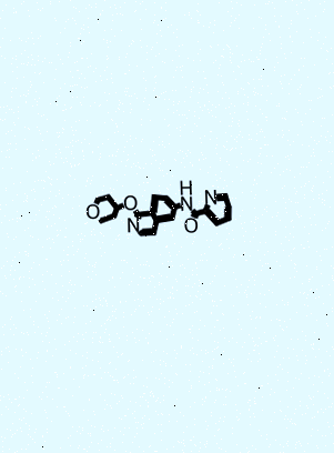 O=C(Nc1ccc2c(OC3CCOCC3)nccc2c1)c1ccccn1